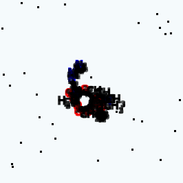 CCC1C(=O)[C@H](C)C[C@](C)(OC)[C@H](O[C@@H]2O[C@H](C)C[C@H](N(C)C)[C@H]2OC(=O)c2ccccc2)[C@@H](C)C(=O)[C@@H](C)C(=O)O[C@H](CC)[C@@]2(C)OC(=O)N(CCCCn3cnc(-c4cccnc4)c3)[C@H]12